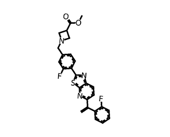 C=C(c1ccc2nc(-c3ccc(CN4CC(C(=O)OC)C4)cc3F)sc2n1)c1ccccc1F